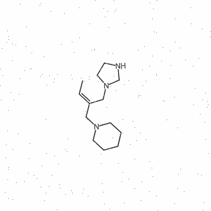 CC=C(CN1CCCCC1)CN1CCNC1